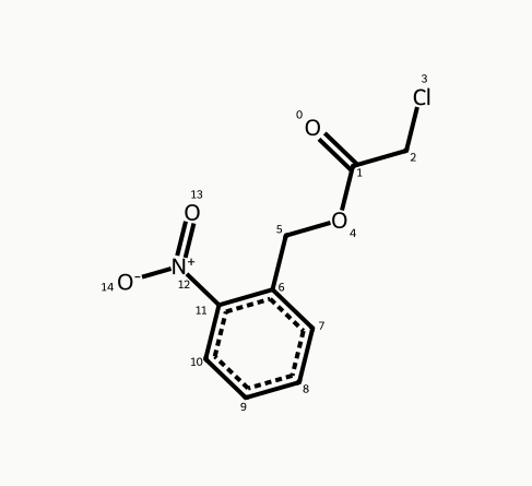 O=C(CCl)OCc1ccccc1[N+](=O)[O-]